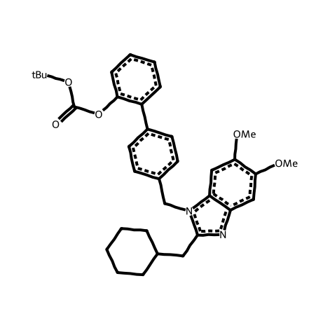 COc1cc2nc(CC3CCCCC3)n(Cc3ccc(-c4ccccc4OC(=O)OC(C)(C)C)cc3)c2cc1OC